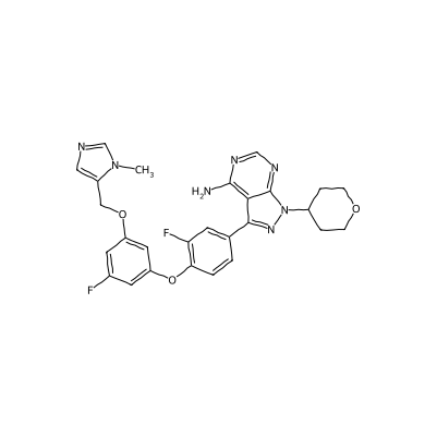 Cn1cncc1COc1cc(F)cc(Oc2ccc(-c3nn(C4CCOCC4)c4ncnc(N)c34)cc2F)c1